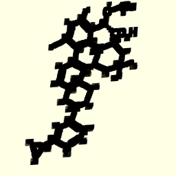 Cc1nc(C)c([C@H](OC(C)(C)C)C(=O)O)c(N2CCC(C)(C)CC2)c1-c1ccc2c(c1)CCN(c1cc(C3CC3)ncn1)C2